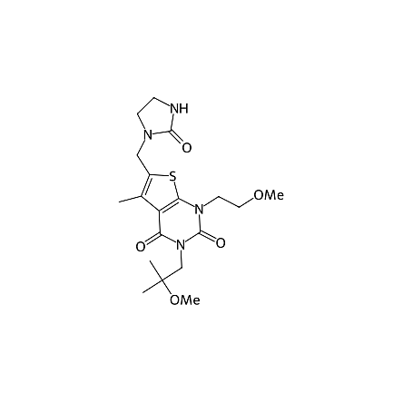 COCCn1c(=O)n(CC(C)(C)OC)c(=O)c2c(C)c(CN3CCNC3=O)sc21